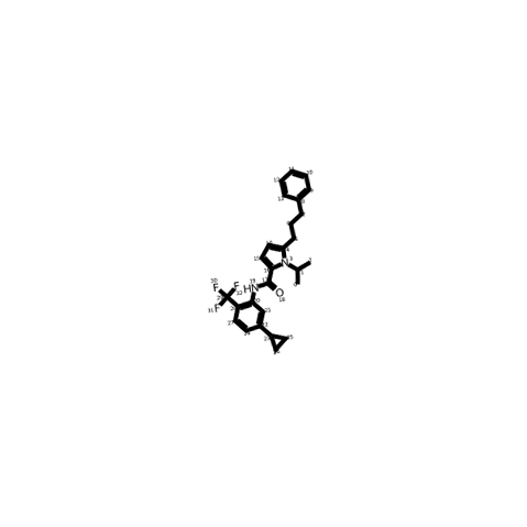 CC(C)n1c(CCCc2ccccc2)ccc1C(=O)Nc1cc(C2CC2)ccc1C(F)(F)F